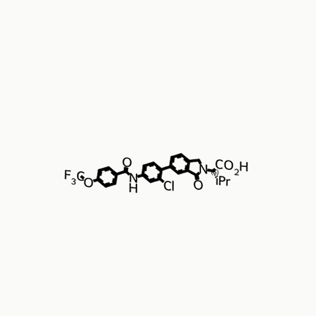 CC(C)[C@@H](C(=O)O)N1Cc2ccc(-c3ccc(NC(=O)c4ccc(OC(F)(F)F)cc4)cc3Cl)cc2C1=O